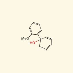 COc1ccccc1C1(O)C=CC=[C]C1